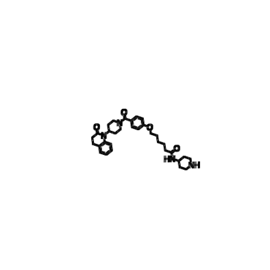 O=C(CCCCCOc1ccc(C(=O)N2CCC(N3C(=O)CCc4ccccc43)CC2)cc1)NC1CCNCC1